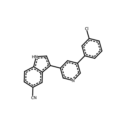 N#Cc1ccc2[nH]cc(-c3cncc(-c4cccc(Cl)c4)c3)c2c1